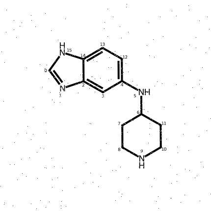 c1nc2cc(NC3CCNCC3)ccc2[nH]1